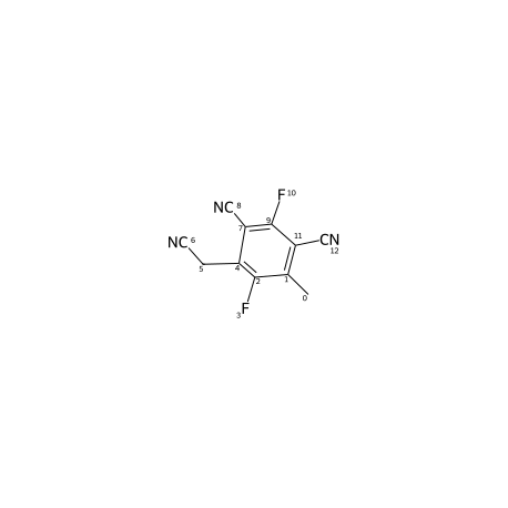 Cc1c(F)c(CC#N)c(C#N)c(F)c1C#N